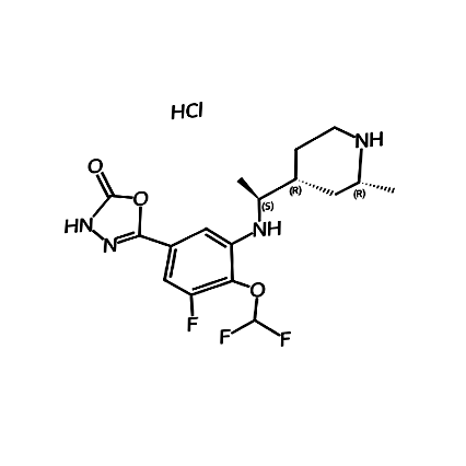 C[C@@H]1C[C@H]([C@H](C)Nc2cc(-c3n[nH]c(=O)o3)cc(F)c2OC(F)F)CCN1.Cl